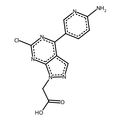 Nc1ccc(-c2nc(Cl)nc3c2cnn3CC(=O)O)cn1